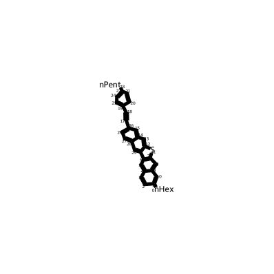 CCCCCCc1ccc2cc3c(cc2c1)sc1cc2cc(C#Cc4ccc(CCCCC)cc4)ccc2cc13